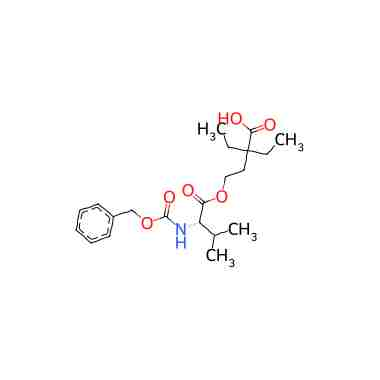 CCC(CC)(CCOC(=O)[C@@H](NC(=O)OCc1ccccc1)C(C)C)C(=O)O